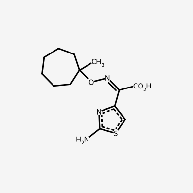 CC1(ON=C(C(=O)O)c2csc(N)n2)CCCCCC1